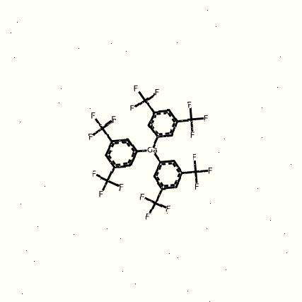 FC(F)(F)c1c[c]([Ga]([c]2cc(C(F)(F)F)cc(C(F)(F)F)c2)[c]2cc(C(F)(F)F)cc(C(F)(F)F)c2)cc(C(F)(F)F)c1